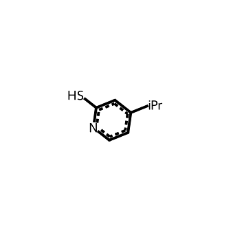 CC(C)c1ccnc(S)c1